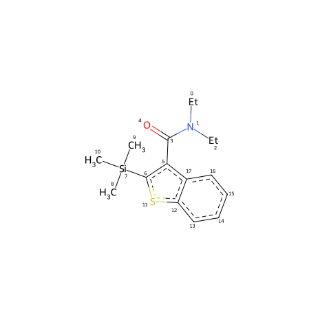 CCN(CC)C(=O)c1c([Si](C)(C)C)sc2ccccc12